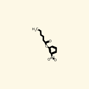 CCCCCC(=O)Oc1cccc([N+](=O)[O-])c1